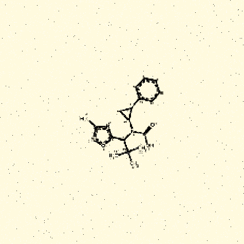 Cc1noc(C(N(C(=O)O)[C@H]2C[C@H]2c2ccccc2)C(C)(C)C)n1